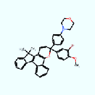 COc1ccc(C2(c3ccc(N4CCOCC4)cc3)C=Cc3c4c(c5ccccc5c3O2)-c2ccccc2C4(C)C)cc1Br